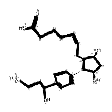 CCCC(O)c1ccc([C@@H]2[C@@H](C/C=C\CCCC(=O)O)[C@@H](Cl)C[C@H]2O)cc1